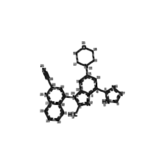 Cc1nc2c(-c3nnc[nH]3)cc(N3CCOCC3)cc2n1-c1cc(C#N)nc2ccccc12